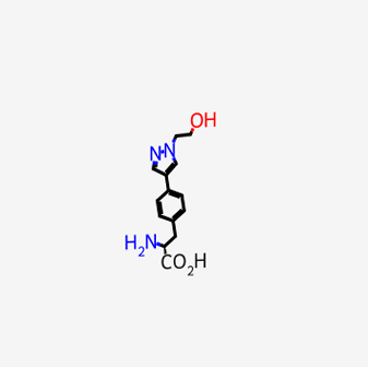 N[C@@H](Cc1ccc(-c2cnn(CCO)c2)cc1)C(=O)O